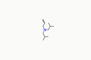 C=CCN(CC(C)C)CC(C)C